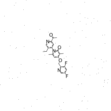 CCc1cnc(C(C)=O)cc1-n1c(C)cc(OCc2ncc(F)cc2F)c(C)c1=O